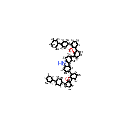 c1ccc(-c2ccc(-c3cccc4c3oc3c(-c5ccc6[nH]c7ccc(-c8cccc9c8oc8c(-c%10ccc(-c%11ccccc%11)cc%10)cccc89)cc7c6c5)cccc34)cc2)cc1